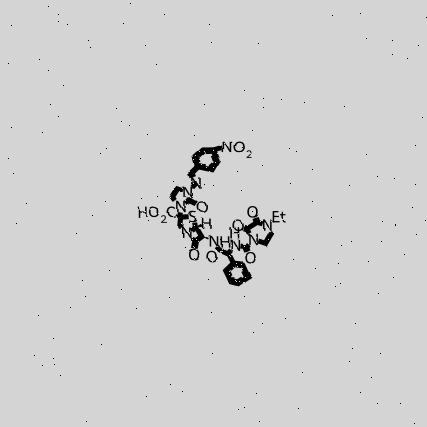 CCN1CCN(C(=O)NC(C(=O)N[C@@H]2C(=O)N3C[C@@](C(=O)O)(N4CCN(/N=C/c5ccc([N+](=O)[O-])cc5)C4=O)S[C@H]23)c2ccccc2)C(=O)C1=O